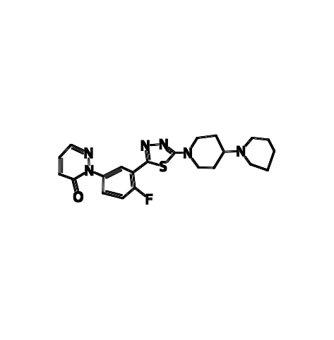 O=c1cccnn1-c1ccc(F)c(-c2nnc(N3CCC(N4CCCCC4)CC3)s2)c1